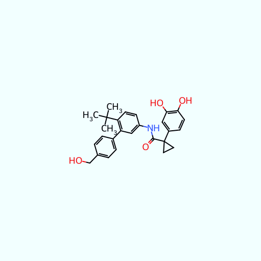 CC(C)(C)c1ccc(NC(=O)C2(c3ccc(O)c(O)c3)CC2)cc1-c1ccc(CO)cc1